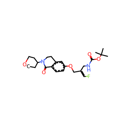 CC(C)(C)OC(=O)NC/C(=C\F)COc1ccc2c(c1)CCN(C1CCOCC1)C2=O